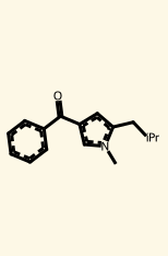 CC(C)Cc1cc(C(=O)c2ccccc2)cn1C